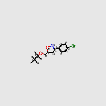 CC(C)(C)[Si](C)(C)OC[C@@H]1CC(c2ccc(Br)cc2)=NO1